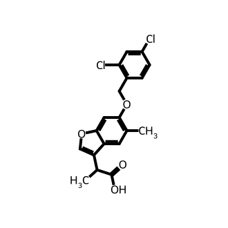 Cc1cc2c(C(C)C(=O)O)coc2cc1OCc1ccc(Cl)cc1Cl